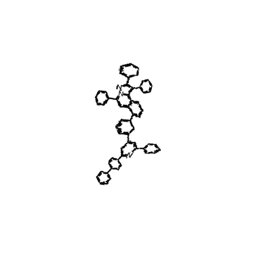 c1ccc(-c2ccc(-c3cc(-c4cccc(-c5cccc6c5cc(-c5ccccc5)n5nc(-c7ccccc7)c(-c7ccccc7)c65)c4)cc(-c4ccccc4)n3)cc2)cc1